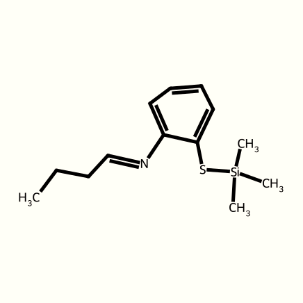 CCCC=Nc1ccccc1S[Si](C)(C)C